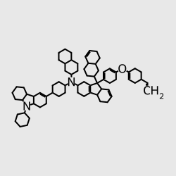 C=CC1CC=C(OC2=CC=C(C3(C4CCC5C=CCCC5C4)C4=C(CCC(N(C5CCC(C6=CC7C8CCCCC8N(C8CCCCC8)C7CC6)CC5)C5CCC6CCCCC6C5)C4)C4CCC=CC43)CC2)CC1